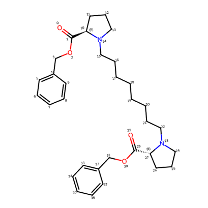 O=C(OCc1ccccc1)[C@H]1CCCN1CCCCCCCCN1CCC[C@@H]1C(=O)OCc1ccccc1